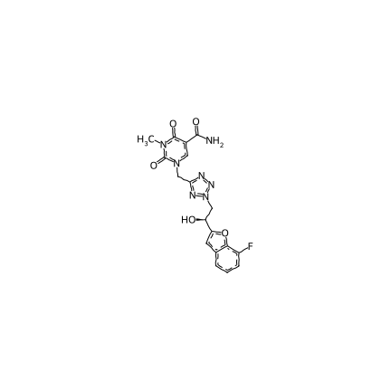 Cn1c(=O)c(C(N)=O)cn(Cc2nnn(C[C@H](O)c3cc4cccc(F)c4o3)n2)c1=O